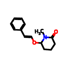 CN1C(=O)CCCC1OC=Cc1ccccc1